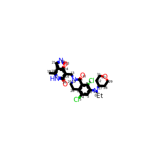 CCN(c1cc(Cl)c2c(c1Cl)C(=O)N(Cc1c(=O)[nH]c(C)c3cnoc13)CC2)C1CCOCC1